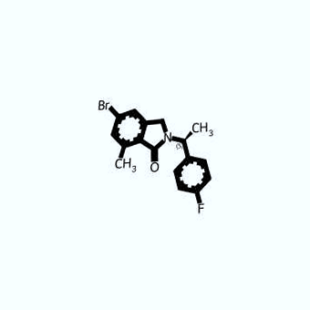 Cc1cc(Br)cc2c1C(=O)N([C@@H](C)c1ccc(F)cc1)C2